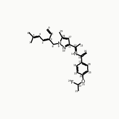 C=C/C(=C\C=C(C)C)Cn1nc(/C(C)=N/C(=C)c2ccc(OC(C)F)cc2)cc1C